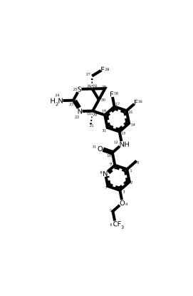 Cc1cc(OCC(F)(F)F)cnc1C(=O)Nc1cc(F)c(F)c([C@@]2(C)N=C(N)S[C@@]3(CF)CC32)c1